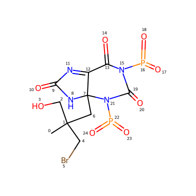 CC(CO)(CBr)CC12NC(=O)N=C1C(=O)N(P(=O)=O)C(=O)N2P(=O)=O